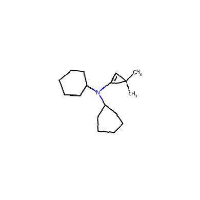 CC1(C)C=C1N(C1CCCCC1)C1CCCCC1